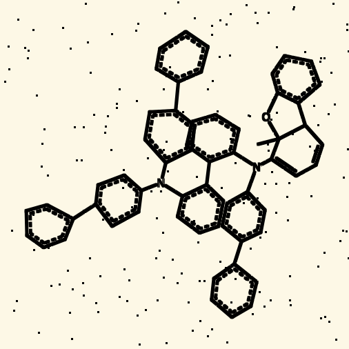 CC12Oc3ccccc3C1C=CC=C2N(c1ccc(-c2ccccc2)cc1)c1ccccc1-c1ccccc1N(c1ccc(-c2ccccc2)cc1)c1ccc(-c2ccccc2)cc1